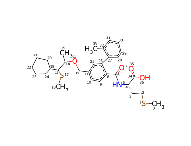 CSCC[C@H](NC(=O)c1ccc(COC(C)C(SC)C2CCCCC2)cc1-c1ccccc1C)C(=O)O